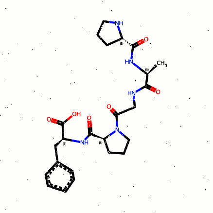 C[C@H](NC(=O)[C@@H]1CCCN1)C(=O)NCC(=O)N1CCC[C@H]1C(=O)N[C@@H](Cc1ccccc1)C(=O)O